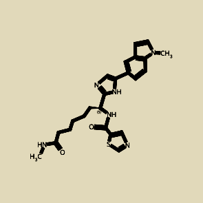 CNC(=O)CCCCC[C@H](NC(=O)c1cncs1)c1ncc(-c2ccc3c(ccn3C)c2)[nH]1